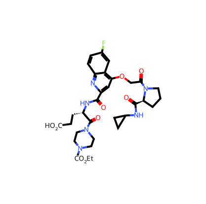 CCOC(=O)N1CCN(C(=O)[C@H](CCC(=O)O)NC(=O)c2cc(OCC(=O)N3CCC[C@H]3C(=O)NC3CC3)c3cc(F)ccc3n2)CC1